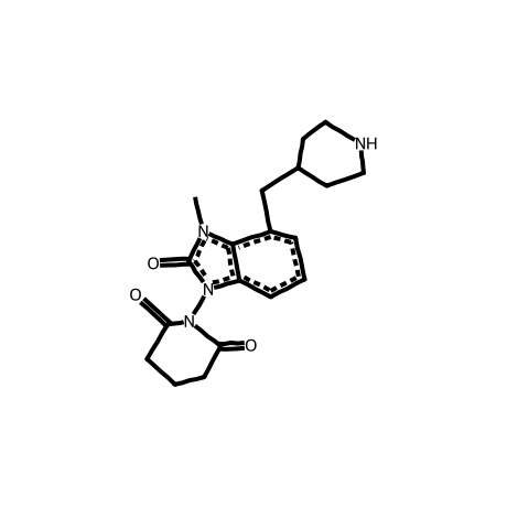 Cn1c(=O)n(N2C(=O)CCCC2=O)c2cccc(CC3CCNCC3)c21